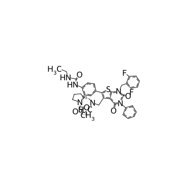 CCNC(=O)Nc1ccc(-c2sc3c(c2CN(C)C[C@H]2CCCN2S(C)(=O)=O)c(=O)n(-c2ccccc2)c(=O)n3Cc2c(F)cccc2F)cc1